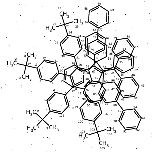 CC(C)(C)c1ccc(-c2c(-c3ccc(C(C)(C)C)cc3)c(-c3ccc(C(C)(C)C)cc3)c(C3(C(=C(c4ccccc4)c4ccccc4)c4ccccc4)C=CC(c4ccccc4)=CC3)c(C3(C(=C(c4ccccc4)c4ccccc4)c4ccccc4)C=CC(c4ccccc4)=CC3)c2-c2ccc(C(C)(C)C)cc2)cc1